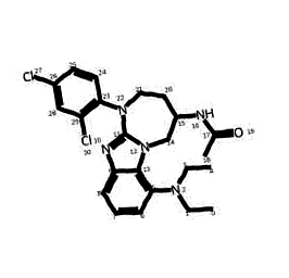 CCN(CC)c1cccc2nc3n(c12)CC(NC(C)=O)CCN3c1ccc(Cl)cc1Cl